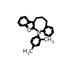 Cc1ccc(N2c3ccccc3CCCc3c2oc2ccccc32)c(C)c1